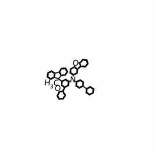 CC1(c2cc(N(c3ccc(-c4ccccc4)cc3)c3ccc4oc5ccccc5c4c3)cc3c2oc2ccccc23)c2ccccc2-c2ccccc21